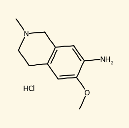 COc1cc2c(cc1N)CN(C)CC2.Cl